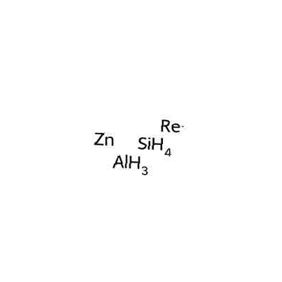 [AlH3].[Re].[SiH4].[Zn]